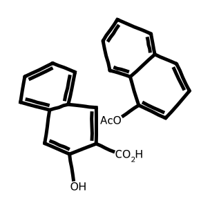 CC(=O)Oc1cccc2ccccc12.O=C(O)c1cc2ccccc2cc1O